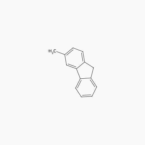 [CH2]c1ccc2c(c1)-c1ccccc1C2